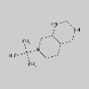 CC(C)(C)N1CCC2CNCNC2C1